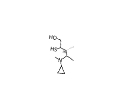 CC([C@@H](C)C(S)CO)N(C)C1CC1